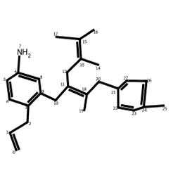 C=CCc1ccc(N)cc1C/C(CC(C)=C(C)C)=C(\C)Cc1ccc(C)cc1